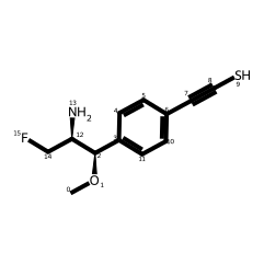 CO[C@H](c1ccc(C#CS)cc1)[C@H](N)CF